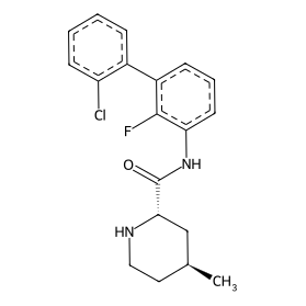 C[C@H]1CCN[C@H](C(=O)Nc2cccc(-c3ccccc3Cl)c2F)C1